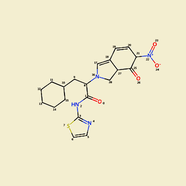 O=C(Nc1nccs1)C(CC1CCCCC1)N1C=C2C=CC([N+](=O)[O-])C(=O)C2C1